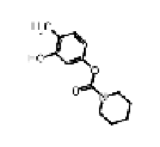 Cc1ccc(OC(=O)N2CCCCC2)cc1O